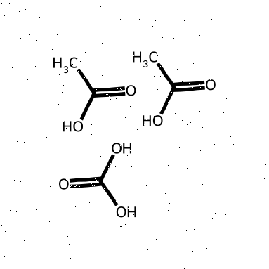 CC(=O)O.CC(=O)O.O=C(O)O